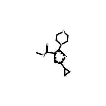 COC(=O)c1cc(C2CC2)sc1N1CCOCC1